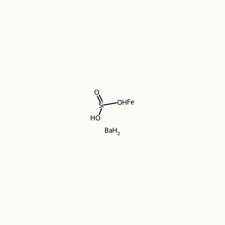 O=[Si](O)O.[BaH2].[Fe]